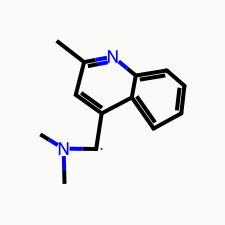 Cc1cc([CH]N(C)C)c2ccccc2n1